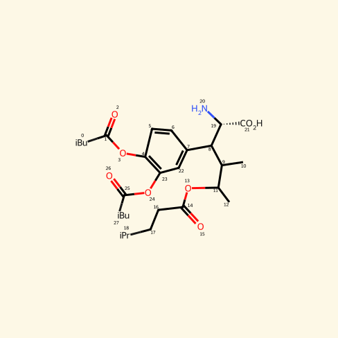 CCC(C)C(=O)Oc1ccc(C(C(C)C(C)OC(=O)CCC(C)C)[C@H](N)C(=O)O)cc1OC(=O)C(C)CC